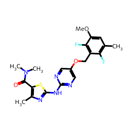 COc1cc(C)c(F)c(COc2cnc(Nc3nc(C)c(C(=O)N(C)C)s3)nc2)c1F